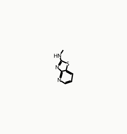 CNc1nc2ncccc2s1